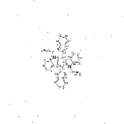 C#CCn1c2ccccc2c2c(-c3cc4ccccc4s3)c3c(c(-c4cc5ccccc5s4)c21)c1ccccc1n3CC#C